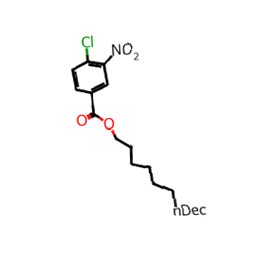 CCCCCCCCCCCCCCCCOC(=O)c1ccc(Cl)c([N+](=O)[O-])c1